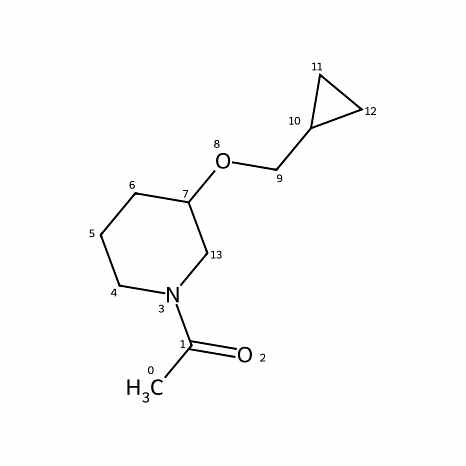 CC(=O)N1CCCC(OCC2CC2)C1